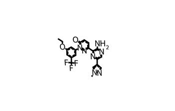 CCOc1cc(-n2nc(-c3nc(-c4cnn(C)c4)cnc3N)ccc2=O)cc(C(F)(F)F)c1